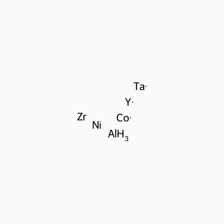 [AlH3].[Co].[Ni].[Ta].[Y].[Zr]